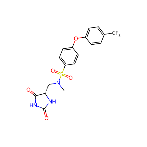 CN(C[C@@H]1NC(=O)NC1=O)S(=O)(=O)c1ccc(Oc2ccc(C(F)(F)F)cc2)cc1